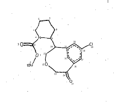 CC(C)(C)OC(=O)N1CCCCC1C1COCC(=O)c2cc(Cl)cc1c2